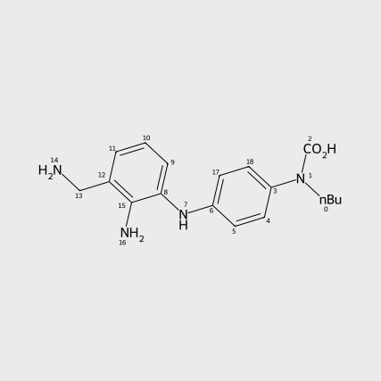 CCCCN(C(=O)O)c1ccc(Nc2cccc(CN)c2N)cc1